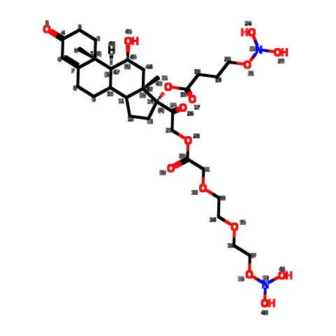 C[C@]12CCC(=O)C=C1CCC1C3CC[C@](OC(=O)CCCON(O)O)(C(=O)COC(=O)COCCOCCON(O)O)[C@@]3(C)C[C@H](O)[C@@H]12